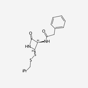 CC(C)CSS[C@H]1NC(=O)[C@H]1NC(=O)Cc1ccccc1